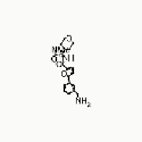 CNC(=O)[C@@H](NC(=O)c1ccc(-c2cccc(CN)c2)o1)C1CCOCC1